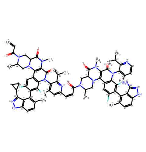 C=CC(=O)N1CC2C(=O)N(C)c3c(c4cc(F)c(-c5c(C)ccc6[nH]nc(C7CC7)c56)c(F)c4n(-c4c(C)cc(/C=C\C(=O)N5CC6C(=O)N(C)c7c(c8cc(F)c(-c9c(C)ccc%10[nH]nc(N)c9%10)c(F)c8n(-c8c(C)ccnc8C(C)C)c7=O)N6CC5C)nc4C(C)C)c3=O)N2CC1C